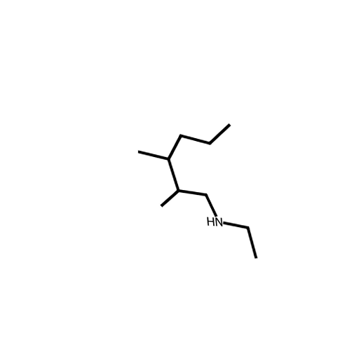 CCCC(C)C(C)CNCC